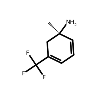 C[C@]1(N)C=CC=C(C(F)(F)F)C1